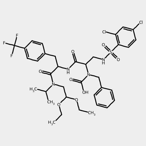 CCOC(CN(C(=O)C(Cc1ccc(C(F)(F)F)cc1)NC(=O)C(CNS(=O)(=O)c1ccc(Cl)cc1Cl)N(Cc1ccccc1)C(=O)O)C(C)C)OCC